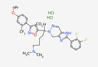 CCCOc1ccc(-c2cc(C(CCCCN(C)C)(C(=O)O)N3Cc4nc(-c5cccc(F)c5F)[nH]c4C=N3)on2)c(C(F)(F)F)c1.Cl.Cl